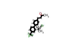 CC(=O)CCc1ccc(-c2ccc(C(F)(F)F)cc2)cc1.C[CH2][Mg][Br]